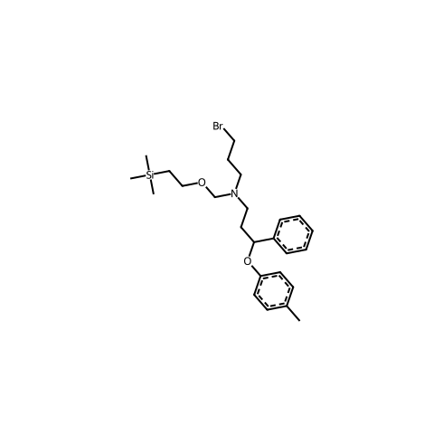 Cc1ccc(OC(CCN(CCCBr)COCC[Si](C)(C)C)c2ccccc2)cc1